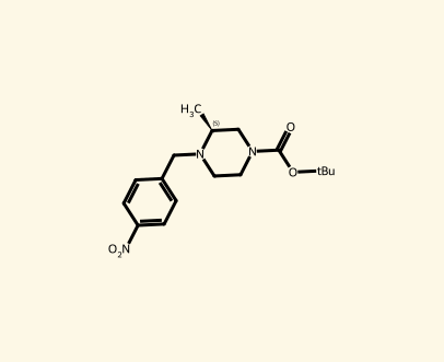 C[C@H]1CN(C(=O)OC(C)(C)C)CCN1Cc1ccc([N+](=O)[O-])cc1